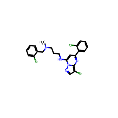 CN(CCCNc1cc(-c2ccccc2Cl)nc2c(Br)cnn12)Cc1ccccc1Br